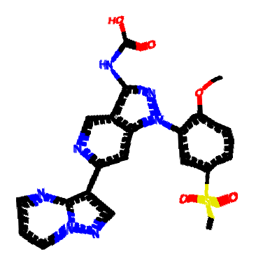 COc1ccc(S(C)(=O)=O)cc1-n1nc(NC(=O)O)c2cnc(-c3cnn4cccnc34)cc21